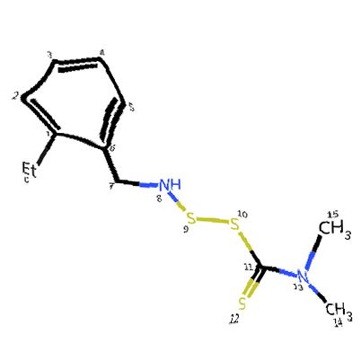 CCc1ccccc1CNSSC(=S)N(C)C